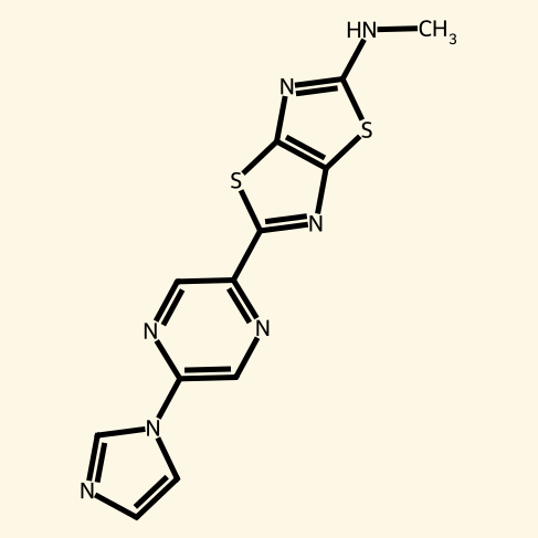 CNc1nc2sc(-c3cnc(-n4ccnc4)cn3)nc2s1